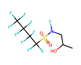 CC(O)CN(F)S(=O)(=O)C(F)(F)C(F)(F)C(F)(F)C(F)(F)F